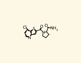 NC(=O)C1[CH]CCN1C(=O)c1cc2nccc(Cl)c2s1